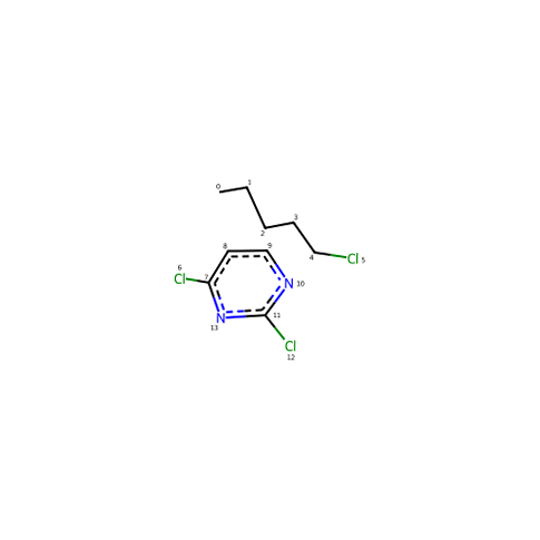 CCCCCCl.Clc1ccnc(Cl)n1